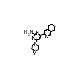 CN1CCN(c2cc(-c3cc4c(cn3)CCCC4)nc(N)n2)CC1